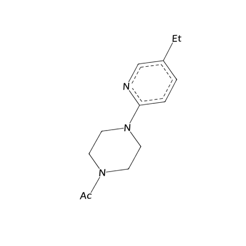 CCc1ccc(N2CCN(C(C)=O)CC2)nc1